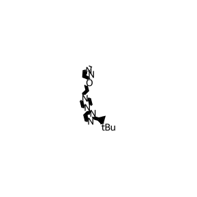 Cn1ccc(OCCCN2CCN(c3ccnc(C4CC4C(C)(C)C)n3)CC2)n1